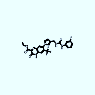 CCOC(=O)c1nc2cc(-n3ccc(CNC(=O)Nc4cccc(F)c4)c3)c(C(F)(F)F)cc2[nH]c1=O